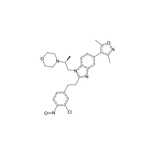 Cc1noc(C)c1-c1ccc2c(c1)nc(CCc1ccc(N=O)c(Cl)c1)n2C[C@H](C)N1CCOCC1